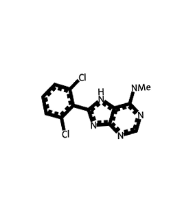 CNc1ncnc2nc(-c3c(Cl)cccc3Cl)[nH]c12